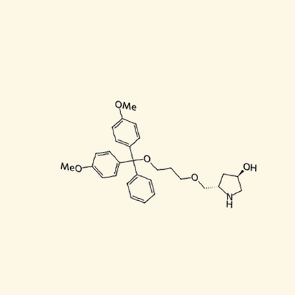 COc1ccc(C(OCCCOC[C@@H]2C[C@@H](O)CN2)(c2ccccc2)c2ccc(OC)cc2)cc1